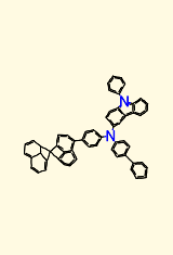 C1=CC2=CC=CC3C2C(=C1)C31c2cccc3c(-c4ccc(N(c5ccc(-c6ccccc6)cc5)c5ccc6c(c5)c5ccccc5n6-c5ccccc5)cc4)ccc1c23